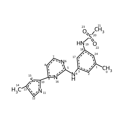 Cc1cc(Nc2nccc(-c3ncc(C)s3)n2)cc(NS(C)(=O)=O)c1